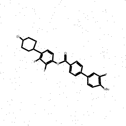 CCCCc1ccc(-c2ccc(C(=O)Oc3ccc(C4CCC(CC)CC4)c(F)c3F)cc2)cc1F